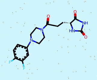 O=C1NC(=O)[C@@H](CCC(=O)N2CCN(c3ccc(F)c(F)c3)CC2)N1